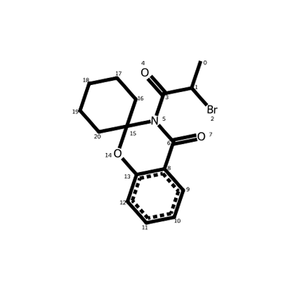 CC(Br)C(=O)N1C(=O)c2ccccc2OC12CCCCC2